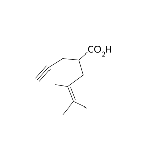 C#CCC(CC(C)=C(C)C)C(=O)O